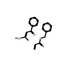 C=CC(=O)OCc1ccccc1.CC(=CC(=O)c1ccccc1)C(=O)O